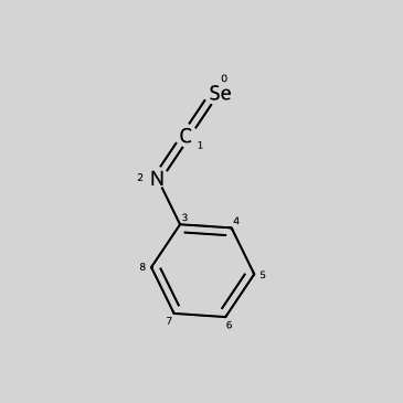 [Se]=C=Nc1ccccc1